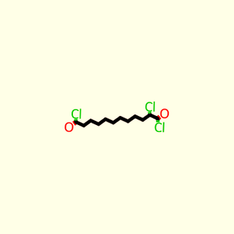 O=C(Cl)CCCCCCCCCC(Cl)C(=O)Cl